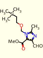 COC(=O)c1c(C=O)nc(C)n1COCC[Si](C)(C)C